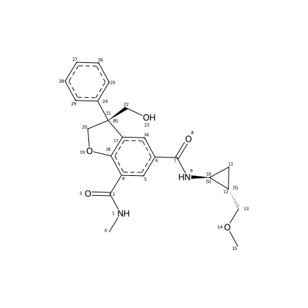 CNC(=O)c1cc(C(=O)N[C@H]2C[C@@H]2COC)cc2c1OC[C@]2(CO)c1ccccc1